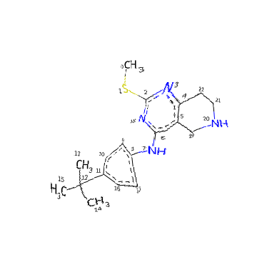 CSc1nc2c(c(Nc3ccc(C(C)(C)C)cc3)n1)CNCC2